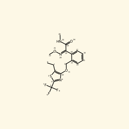 CCc1sc(C(F)(F)F)nc1OCc1ccccc1C(=NOC)C(=O)NC